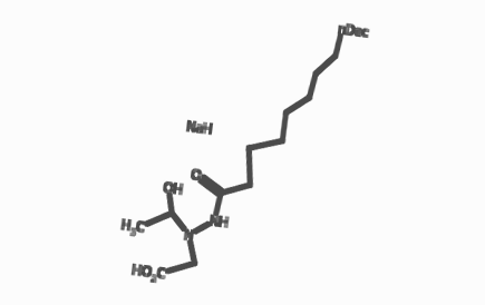 CCCCCCCCCCCCCCCCCC(=O)NN(CC(=O)O)C(C)O.[NaH]